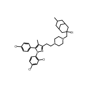 CCC1(CN2CCN(CCc3nn(-c4ccc(Cl)cc4Cl)c(-c4ccc(Cl)cc4)c3C)CC2)CC2CC(C)CC(C2)C1